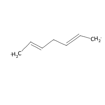 [CH2]C=CCC=C[CH2]